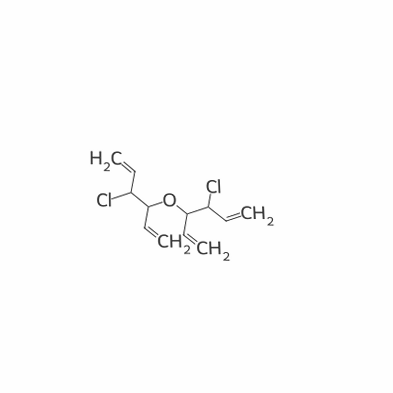 C=CC(Cl)C(C=C)OC(C=C)C(Cl)C=C